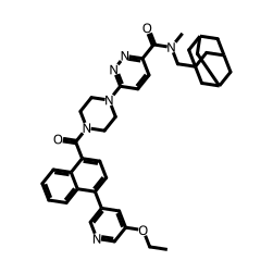 CCOc1cncc(-c2ccc(C(=O)N3CCN(c4ccc(C(=O)N(C)CC56CC7CC(CC(C7)C5)C6)nn4)CC3)c3ccccc23)c1